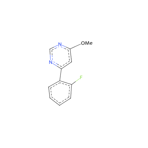 COc1cc(-c2ccccc2F)ncn1